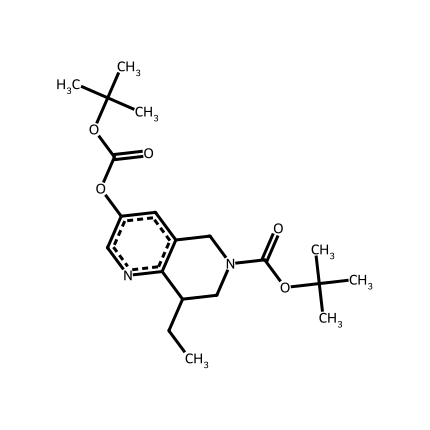 CCC1CN(C(=O)OC(C)(C)C)Cc2cc(OC(=O)OC(C)(C)C)cnc21